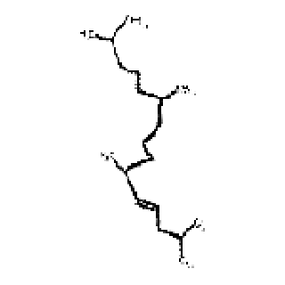 CC(C)CC=CC(C)CCCC(C)CCCC(C)C